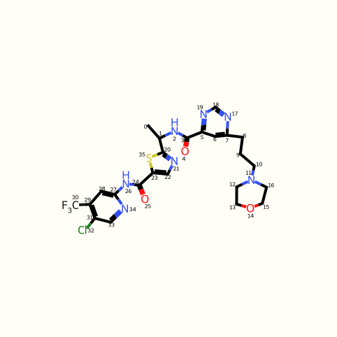 CC(NC(=O)c1cc(CCCN2CCOCC2)ncn1)c1ncc(C(=O)Nc2cc(C(F)(F)F)c(Cl)cn2)s1